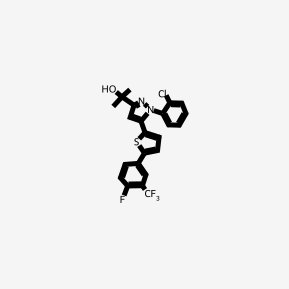 CC(C)(O)c1cc(-c2ccc(-c3ccc(F)c(C(F)(F)F)c3)s2)n(-c2ccccc2Cl)n1